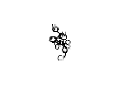 NC(=O)c1ccccc1-c1c(-c2ccncc2)noc1NC(=O)c1ccc(CCl)cc1